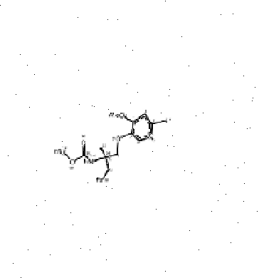 COc1cc(I)ncc1OC[C@](C)(CC(C)C)NC(=O)OC(C)(C)C